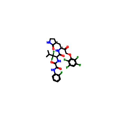 CC(C)C(F)(F)C(NC(=O)C(=O)Nc1ccccc1F)C(=O)N[C@@H](C[C@@H]1CCNC1=O)C(=O)COc1c(F)c(F)cc(F)c1F